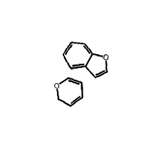 C1=CCOC=C1.c1ccc2occc2c1